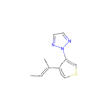 CC=C(C)c1cscc1-n1nccn1